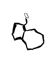 Clc1cccc2c1CCCCC2